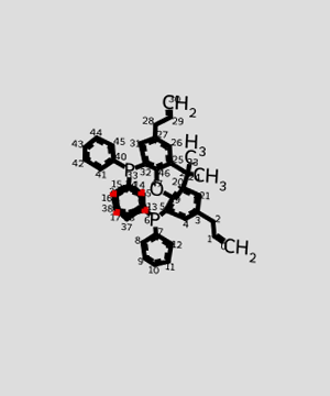 C=CCc1cc(P(c2ccccc2)c2ccccc2)c2c(c1)C(C)(C)c1cc(CC=C)cc(P(c3ccccc3)c3ccccc3)c1O2